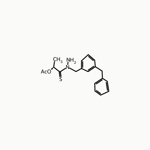 CC(=O)O[C@@H](C)C(=S)N(N)Cc1cccc(Cc2ccccc2)c1